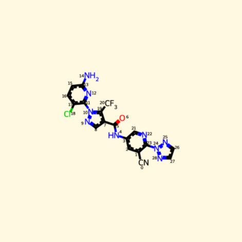 N#Cc1cc(NC(=O)c2cnn(-c3nc(N)ccc3Cl)c2C(F)(F)F)cnc1-n1nccn1